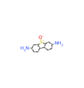 Nc1ccc2c3ccc(N)cc3[s+]([O-])c2c1